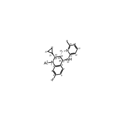 CC(=O)N1c2cc(F)ccc2[C@H](Nc2cccc(C)n2)[C@@H](C)[C@@H]1C1CC1